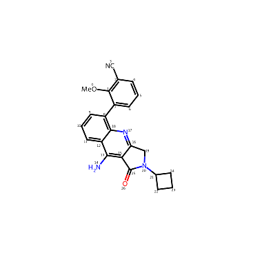 COc1c(C#N)cccc1-c1cccc2c(N)c3c(nc12)CN(C1CCC1)C3=O